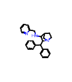 c1ccc(C(c2ccccc2)C2C(NCc3ccccn3)C3CCN2C3)cc1